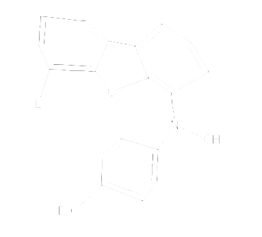 CCc1cccc2c1oc1c(N(C)c3ccc(C(F)(F)F)cc3)cccc12